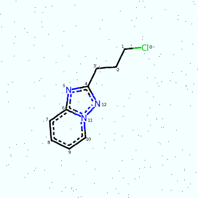 ClCCCc1nc2ccccn2n1